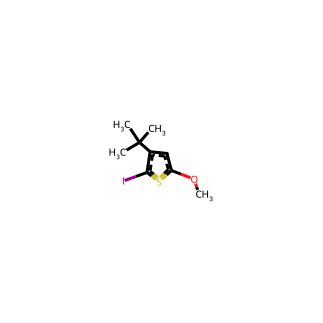 COc1cc(C(C)(C)C)c(I)s1